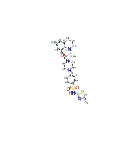 Cc1csc(NS(=O)(=O)c2ccc(N3CCN(C(=O)[C@@H](C)N4CCCc5cc(F)ccc54)CC3)cc2)n1